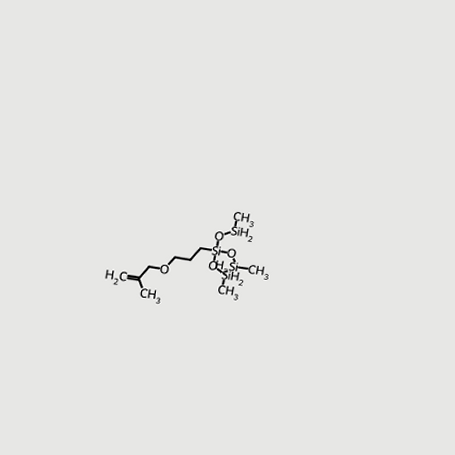 C=C(C)COCCC[Si](O[SiH2]C)(O[SiH2]C)O[SiH2]C